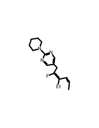 C/C=C\C(CC)=C(\F)Cc1cnc(N2CCCCC2)nc1